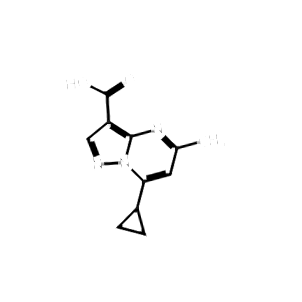 Cc1cc(C2CC2)n2ncc(C(=O)O)c2n1